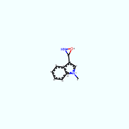 Cn1cc(C2NO2)c2ccccc21